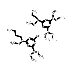 CCCCN(OC)c1nc(N)nc(N(OC)OC)n1.CCCN(OC)c1nc(N(OC)OC)nc(N(OC)OC)n1